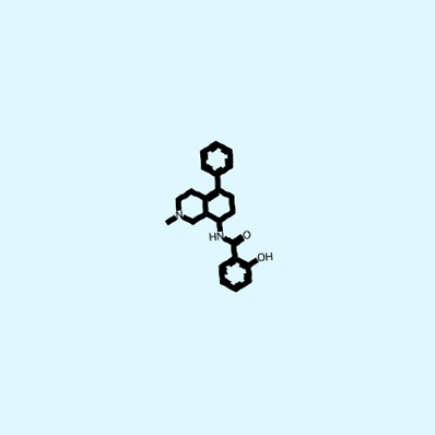 CN1CCC2=C(c3ccccc3)CCC(NC(=O)c3ccccc3O)C2C1